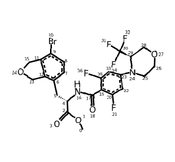 COC(=O)[C@H](Cc1ccc(Br)c2c1COC2)NC(=O)c1c(F)cc(N2CCOC[C@@H]2C(F)(F)F)cc1F